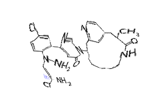 CC1Cc2ccnc(c2)C(n2cnc(-c3cc(Cl)ccc3N(N)/C=C(\N)Cl)cc2=O)CCCCCNC1=O